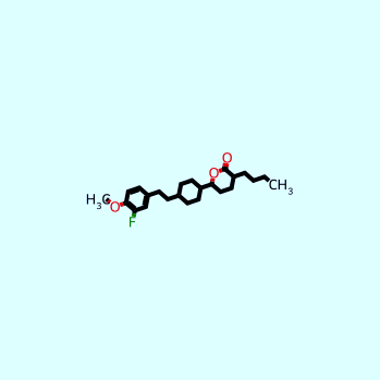 CCCCC1CCC(C2CCC(CCc3ccc(OC)c(F)c3)CC2)OC1=O